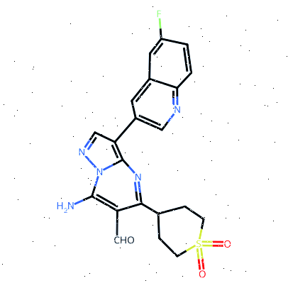 Nc1c(C=O)c(C2CCS(=O)(=O)CC2)nc2c(-c3cnc4ccc(F)cc4c3)cnn12